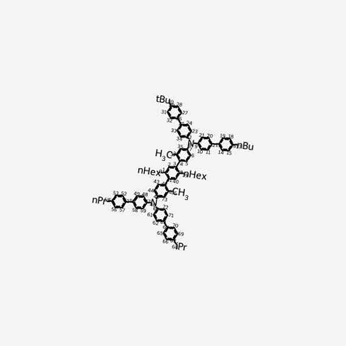 CCCCCCc1cc(-c2ccc(N(c3ccc(-c4ccc(CCCC)cc4)cc3)c3ccc(-c4ccc(C(C)(C)C)cc4)cc3)cc2C)c(CCCCCC)cc1-c1ccc(N(c2ccc(-c3ccc(CCC)cc3)cc2)c2ccc(-c3ccc(C(C)C)cc3)cc2)cc1C